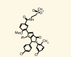 COc1ccc(C(=O)NCCS(C)(=O)=O)cc1-c1cc2c(n1C(C)C)C(c1ccc(Cl)cc1)N(c1cc(Cl)ccc1C)C2=O